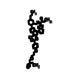 C=CC(=O)N(/N=C/C1CC(CCC)CC[C@@H]1c1ccc2c(Cl)c(OC(=O)c3ccc(OCCCOCC4(CC)COC4)cc3)ccc2c1)c1nc2ccccc2s1